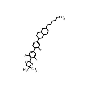 CCCCCCC1CCC2CC(c3ccc(-c4cc(F)c(C5=NC(C)(C)CO5)c(F)c4)c(F)c3)CCC2C1